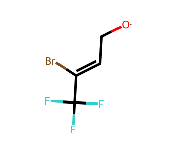 [O]CC=C(Br)C(F)(F)F